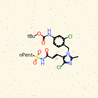 CCCCCS(=O)(=O)NC(=O)/C=C/c1c(Cl)nc(C)n1Cc1ccc(NC(=O)OC(C)(C)C)cc1Cl